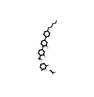 CCCCCc1ccc(-c2ccc(-c3ccc(C(F)(F)Oc4cc(F)c(OC=C(F)F)c(F)c4)c(F)c3)c(F)c2)cc1